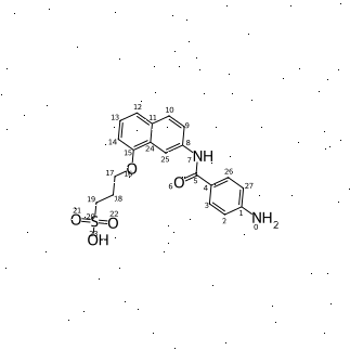 Nc1ccc(C(=O)Nc2ccc3cccc(OCCCS(=O)(=O)O)c3c2)cc1